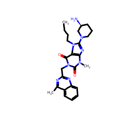 CCCCn1c(N2CCC[C@H](N)C2)nc2c1c(=O)n(Cc1nc(C)c3ccccc3n1)c(=O)n2C